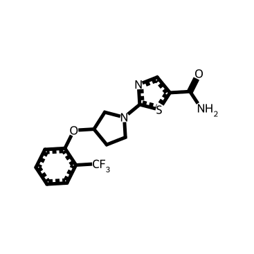 NC(=O)c1cnc(N2CCC(Oc3ccccc3C(F)(F)F)C2)s1